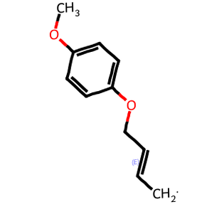 [CH2]/C=C/COc1ccc(OC)cc1